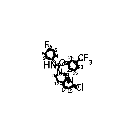 O=C(Nc1ccc(F)cc1)N1CCc2ccc(Cl)nc2[C@H]1c1ccc(C(F)(F)F)cc1